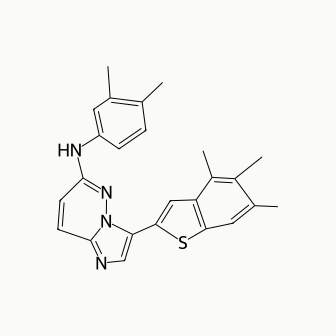 Cc1ccc(Nc2ccc3ncc(-c4cc5c(C)c(C)c(C)cc5s4)n3n2)cc1C